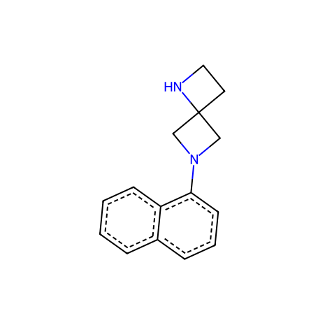 c1ccc2c(N3CC4(CCN4)C3)cccc2c1